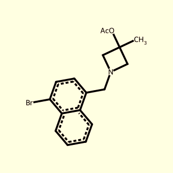 CC(=O)OC1(C)CN(Cc2ccc(Br)c3ccccc23)C1